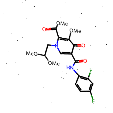 COC(=O)c1c(OC)c(=O)c(C(=O)Nc2ccc(F)cc2F)cn1CC(OC)OC